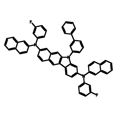 Fc1cccc(N(c2ccc3ccccc3c2)c2ccc3cc4c5ccc(N(c6cccc(F)c6)c6ccc7ccccc7c6)cc5n(-c5cccc(-c6ccccc6)c5)c4cc3c2)c1